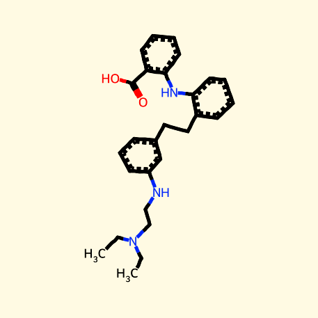 CCN(CC)CCNc1cccc(CCc2ccccc2Nc2ccccc2C(=O)O)c1